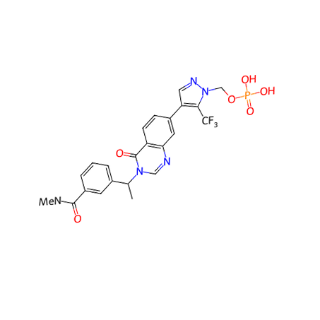 CNC(=O)c1cccc(C(C)n2cnc3cc(-c4cnn(COP(=O)(O)O)c4C(F)(F)F)ccc3c2=O)c1